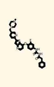 CN1CCN(Cc2ccc(-c3cc4nccc(Oc5ccc(NC(=S)NC(=O)Cc6ccccc6)cc5F)c4s3)nc2)CC1